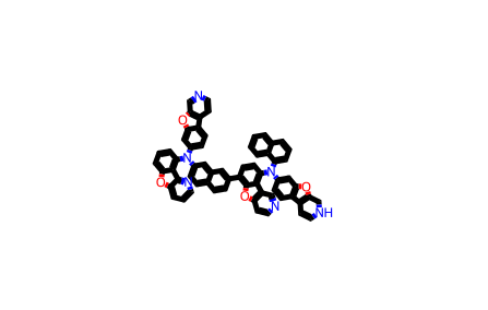 C1=Cc2c(oc3cc(N(c4cccc5ccccc45)c4ccc(-c5ccc6ccc(N(c7ccc8c(c7)oc7cnccc78)c7cccc8oc9cccnc9c78)cc6c5)c5oc6ccncc6c45)ccc23)CN1